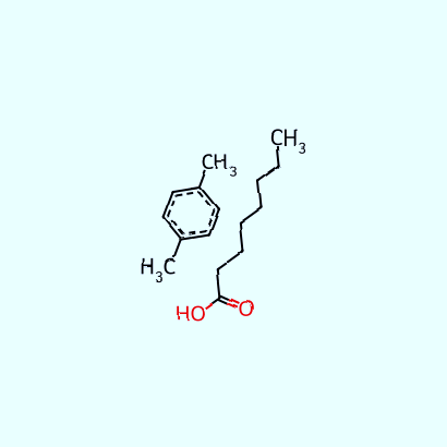 CCCCCCCC(=O)O.Cc1ccc(C)cc1